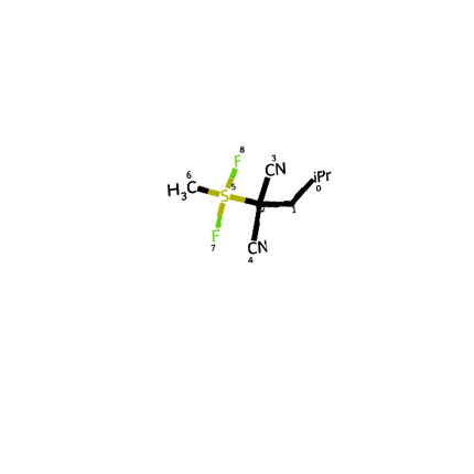 CC(C)CC(C#N)(C#N)S(C)(F)F